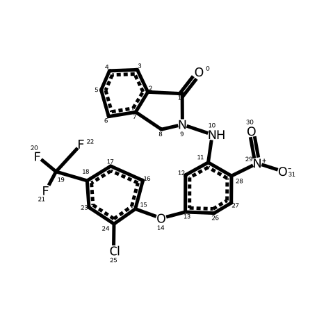 O=C1c2ccccc2CN1Nc1cc(Oc2ccc(C(F)(F)F)cc2Cl)ccc1[N+](=O)[O-]